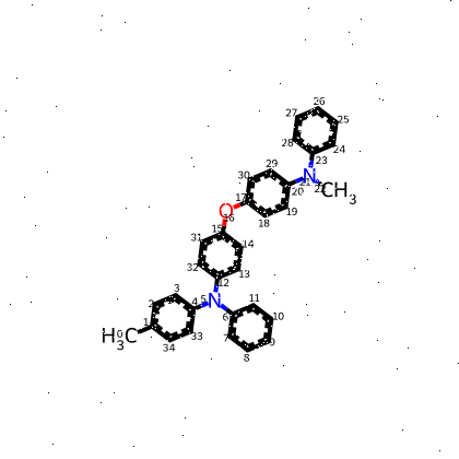 Cc1ccc(N(c2ccccc2)c2ccc(Oc3ccc(N(C)c4ccccc4)cc3)cc2)cc1